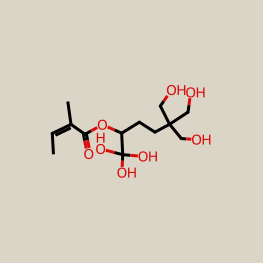 CC=C(C)C(=O)OC(CCC(CO)(CO)CO)C(O)(O)O